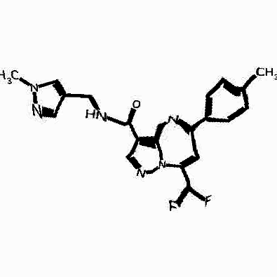 Cc1ccc(-c2cc(C(F)F)n3ncc(C(=O)NCc4cnn(C)c4)c3n2)cc1